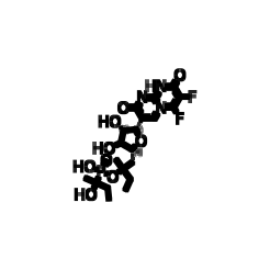 CCC(C)(C[C@H]1O[C@@H](c2cn3c(F)c(F)c(=O)[nH]c3nc2=O)[C@@H](O)C1O)OP(=O)(O)C(C)(O)CC